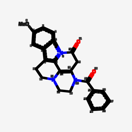 COc1ccc2c(c1)c1c3n2C(=O)CC2=C3N(CC1)CCN2C(=O)c1ccccc1